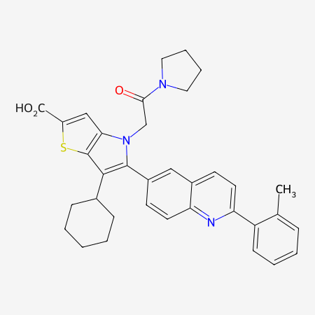 Cc1ccccc1-c1ccc2cc(-c3c(C4CCCCC4)c4sc(C(=O)O)cc4n3CC(=O)N3CCCC3)ccc2n1